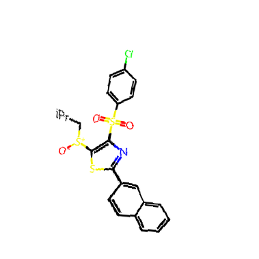 CC(C)C[S+]([O-])c1sc(-c2ccc3ccccc3c2)nc1S(=O)(=O)c1ccc(Cl)cc1